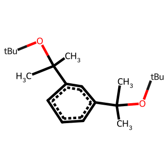 CC(C)(C)OC(C)(C)c1cccc(C(C)(C)OC(C)(C)C)c1